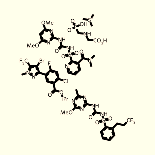 CC(C)OC(=O)c1cc(-c2nn(C)c(C(F)(F)F)c2Br)c(F)cc1Cl.COc1cc(OC)nc(NC(=O)NS(=O)(=O)c2ncccc2C(=O)N(C)C)n1.COc1nc(C)nc(NC(=O)NS(=O)(=O)c2ccccc2CCC(F)(F)F)n1.C[S+](C)C.O=C(O)CNCP(=O)([O-])O